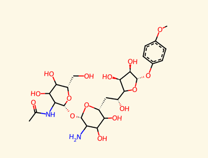 COc1ccc(O[C@@H]2OC([C@H](O)C[C@H]3O[C@@H](O[C@H]4O[C@@H](CO)C(O)C(O)C4NC(C)=O)C(N)C(O)C3O)[C@@H](O)[C@H]2O)cc1